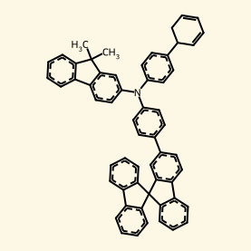 CC1(C)c2ccccc2-c2ccc(N(c3ccc(-c4ccc5c(c4)C4(c6ccccc6-c6ccccc64)c4ccccc4-5)cc3)c3ccc(C4C=CC=CC4)cc3)cc21